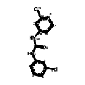 O=C(Nc1cccc(Cl)c1)Nc1ccnc(Cl)c1